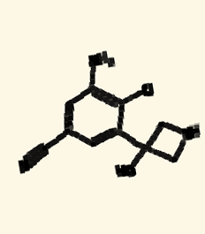 N#Cc1cc(N)c(Cl)c(C2(O)CNC2)c1